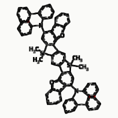 C[Si]1(C)c2cc3c(cc2-c2c1cc(N(c1ccccc1)c1ccccc1-c1ccccc1)c1c2oc2ccccc21)[Si](C)(C)c1cc(N(c2ccccc2)c2ccccc2-c2ccccc2)c2c(oc4ccccc42)c1-3